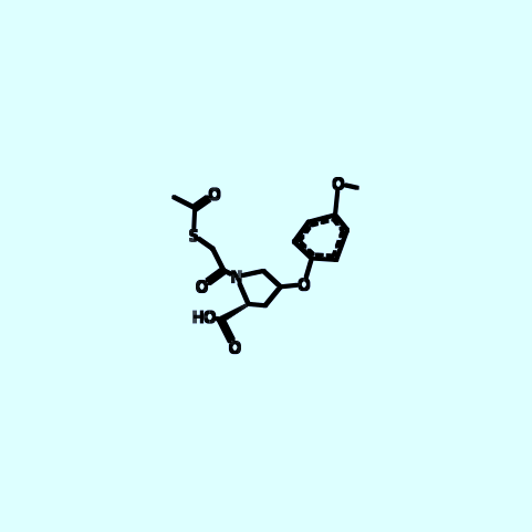 COc1ccc(OC2C[C@@H](C(=O)O)N(C(=O)CSC(C)=O)C2)cc1